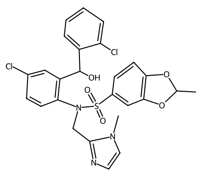 CC1Oc2ccc(S(=O)(=O)N(Cc3nccn3C)c3ccc(Cl)cc3C(O)c3ccccc3Cl)cc2O1